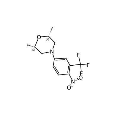 C[C@@H]1CN(c2ccc([N+](=O)[O-])c(C(F)(F)F)c2)C[C@H](C)O1